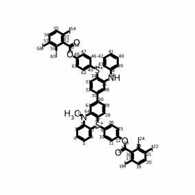 CN1c2ccccc2[S+](c2ccc(OC(=O)c3c(I)ccc(I)c3I)cc2)c2ccc(-c3ccc4c(c3)Nc3ccccc3[S+]4c3ccc(OC(=O)c4c(I)ccc(I)c4I)cc3)cc21